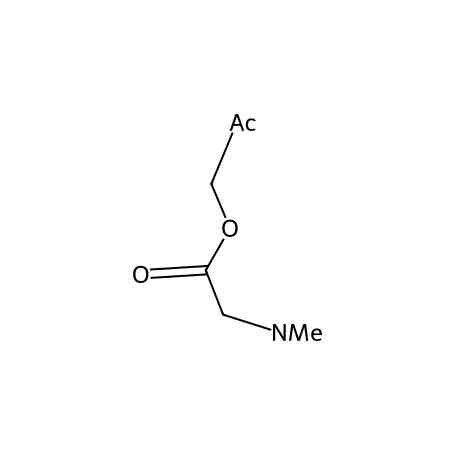 CNCC(=O)OCC(C)=O